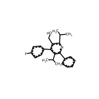 CC(C)c1nc(-c2ccccc2)c(C(C)C)c(-c2ccc(F)cc2)c1CO